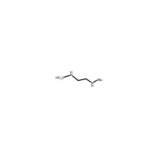 CC(C)(C)NCCNS(=O)(=O)O